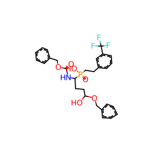 O=C(NC(CCC(O)OCc1ccccc1)P(=O)(O)CCc1cccc(C(F)(F)F)c1)OCc1ccccc1